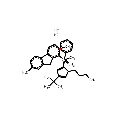 Cl.Cl.[CH2]=[Zr]([CH3])([C]1=CC(C(C)(C)C)=CC1CCCC)([c]1ccccc1)[c]1c(C)ccc2c1Cc1cc(C)ccc1-2